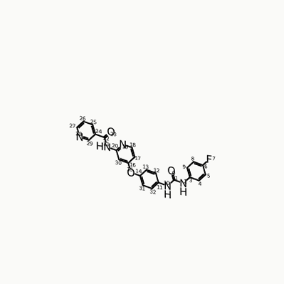 O=C(Nc1ccc(F)cc1)Nc1ccc(Oc2ccnc(NC(=O)c3cccnc3)c2)cc1